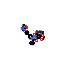 COC(=O)c1cc2c(cc1NC(=O)C(c1ccccc1)N1CCC(c3ccc(-n4cnn(C(C)C)c4=O)cc3)CC1)OCCO2